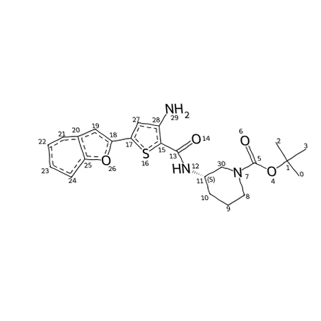 CC(C)(C)OC(=O)N1CCC[C@H](NC(=O)c2sc(-c3cc4ccccc4o3)cc2N)C1